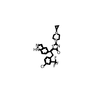 O=C1N=C(N2CCN(C3CC3)CC2)SC1=C(Cc1ccc(Cl)cc1C(F)(F)F)c1ccc2[nH]ncc2c1